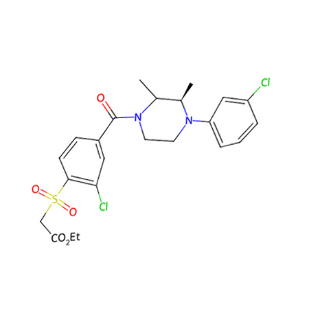 CCOC(=O)CS(=O)(=O)c1ccc(C(=O)N2CCN(c3cccc(Cl)c3)[C@H](C)C2C)cc1Cl